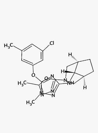 Cc1cc(Cl)cc(Oc2nc(N[C@@H]3[C@@H]4CC[C@H]3CN(c3nnc(C)o3)C4)nn2C)c1